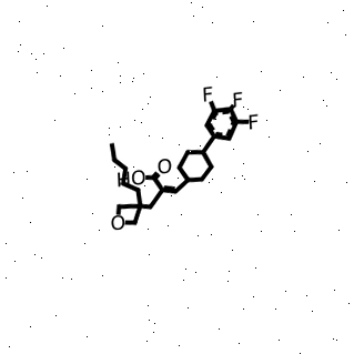 CCCCCC1(CC(=CC2CCC(c3cc(F)c(F)c(F)c3)CC2)C(=O)O)COC1